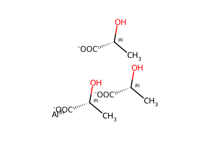 C[C@@H](O)C(=O)[O-].C[C@@H](O)C(=O)[O-].C[C@@H](O)C(=O)[O-].[Al+3]